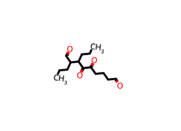 CCCC(C=O)C(CCC)C(=O)C(=O)CCCC=O